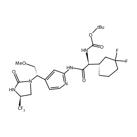 COC[C@H](c1ccnc(NC(=O)[C@@H](NC(=O)OC(C)(C)C)[C@H]2CCCC(F)(F)C2)c1)N1C[C@@H](C(F)(F)F)NC1=O